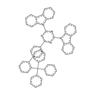 c1ccc(S(c2ccccc2)(c2ccccc2)c2ccccc2-c2ccc(-c3nc(-n4c5ccccc5c5ccccc54)nc(-n4c5ccccc5c5ccccc54)n3)cc2)cc1